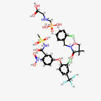 CC1(C)CON(Cc2ccccc2Cl)C1=O.CS(=O)(=O)NC(=O)c1cc(Oc2ccc(C(F)(F)F)cc2Cl)ccc1[N+](=O)[O-].O=C(O)CNCP(=O)(O)O